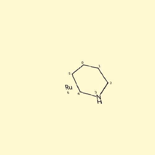 C1CCNCC1.[Ru]